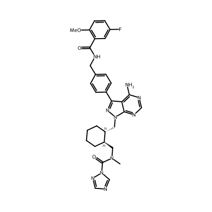 COc1ccc(F)cc1C(=O)NCc1ccc(-c2nn(C[C@H]3CCCC[C@@H]3CN(C)C(=O)n3cncn3)c3ncnc(N)c23)cc1